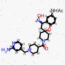 CC(=O)Nc1ccc2c(c1)/C(=N\O)CC1(CCN(C(=O)C3CCN(Cc4ccnc(N)c4)CC3)CC1)O2